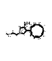 COCCN1CC(c2ccccccccc2)[C@H](N)C1